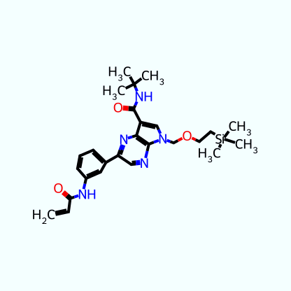 C=CC(=O)Nc1cccc(-c2cnc3c(n2)c(C(=O)NC(C)(C)C)cn3COCC[Si](C)(C)C)c1